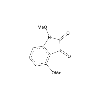 COc1cccc2c1C(=O)C(=O)N2OC